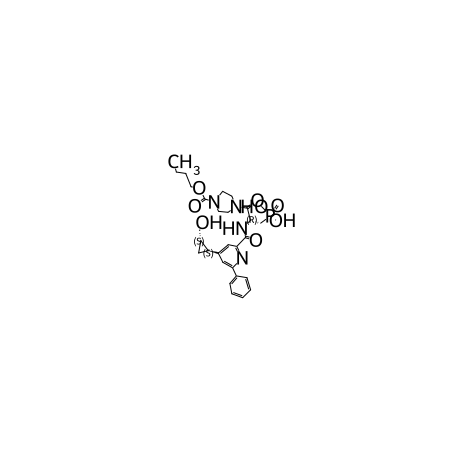 CCCCOC(=O)N1CCN(C(=O)[C@H](CP(=O)(O)O)NC(=O)c2cc([C@H]3C[C@@H]3CO)cc(-c3ccccc3)n2)CC1